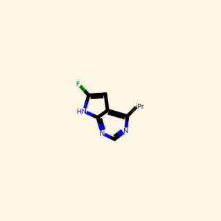 CC(C)c1ncnc2[nH]c(F)cc12